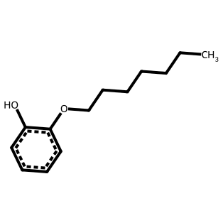 CCCCCCCOc1ccccc1O